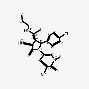 C=C1C(Cl)=CC(N2C(=C)C(=N)/C(=C(/C)NCCC)C2c2ccc(Cl)cc2)=CN1C